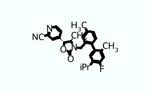 Cc1ccc(-c2cc(C(C)C)c(F)cc2C)c(CN2C(=O)O[C@H](c3ccnc(C#N)c3)[C@@H]2C)c1